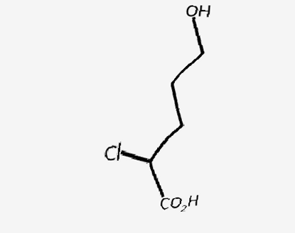 O=C(O)C(Cl)CCCO